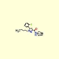 CCCCCN1N=C(C(=O)NC23CC4CC(C2)C(C4)C3)CC1c1ccccc1F